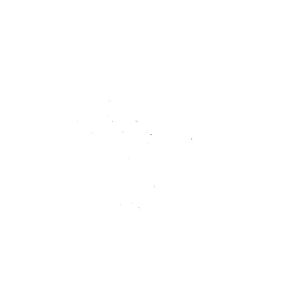 CCC(CI)(CCc1ccccc1)C(C)=NOCC(=O)OC